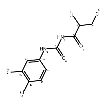 O=C(NC(=O)C(Cl)CCl)Nc1ccc(Cl)c(Cl)c1